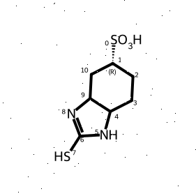 O=S(=O)(O)[C@@H]1CCC2NC(S)=NC2C1